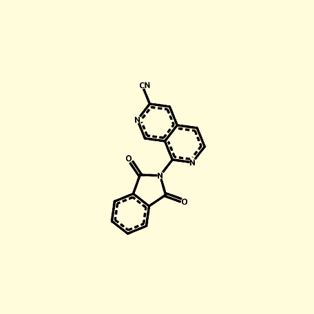 N#Cc1cc2ccnc(N3C(=O)c4ccccc4C3=O)c2cn1